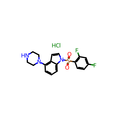 Cl.O=S(=O)(c1ccc(F)cc1F)n1ccc2c(N3CCNCC3)cccc21